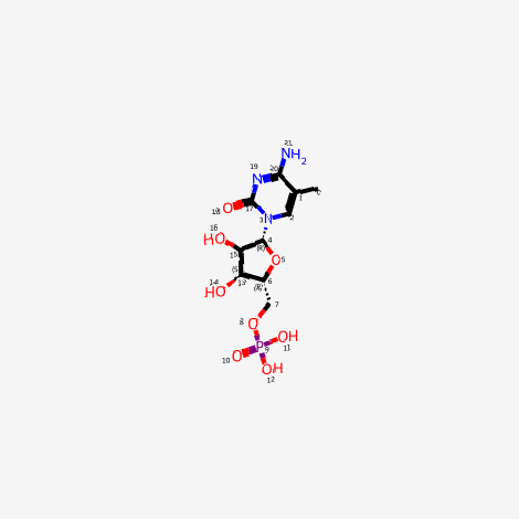 Cc1cn([C@@H]2O[C@H](COP(=O)(O)O)[C@@H](O)C2O)c(=O)nc1N